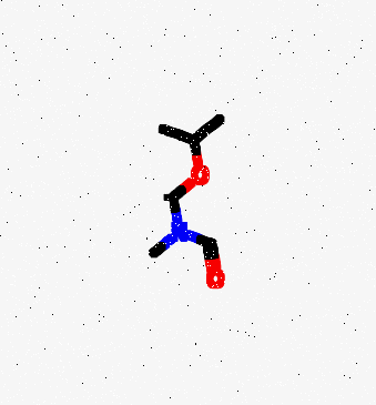 CC(C)O[CH]N(C)C=O